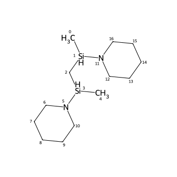 C[SiH](C[SiH](C)N1CCCCC1)N1CCCCC1